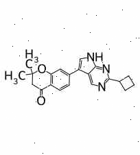 CC1(C)CC(=O)c2ccc(-c3c[nH]c4nc(C5CCC5)ncc34)cc2O1